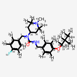 [2H]c1c([2H])c(CN(C(=O)NCc2c([2H])c([2H])c(OC([2H])([2H])C([2H])(C([2H])([2H])[2H])C([2H])([2H])[2H])c([2H])c2[2H])C2CC([2H])([2H])N(C)C([2H])([2H])C2)c([2H])c([2H])c1F